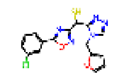 SC(c1noc(-c2cccc(Cl)c2)n1)c1nncn1Cc1ccco1